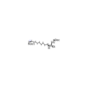 CCCCCCCC/C=C\CCCCCCCCNC(=CCCCCCCCCCCC)CC